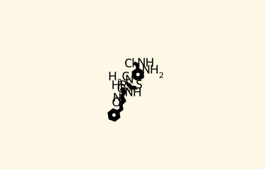 CN1C(=P)[C@@H](NC(=O)c2cc(Cc3ccccc3)on2)CSc2cc(N)c(C(=N)Cl)cc21